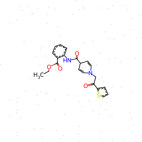 CCOC(=O)c1ccccc1NC(=O)C1C=CN(CC(=O)c2cccs2)C=C1